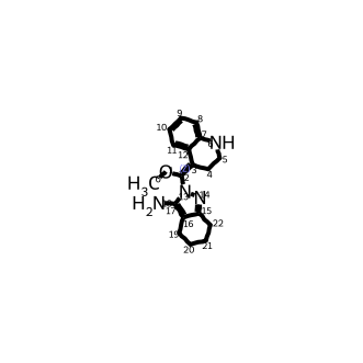 CO/C(=C1/CCNc2ccccc21)n1nc2c(c1N)CCCC2